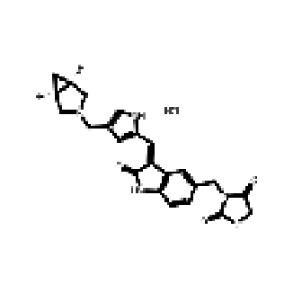 Cl.O=C1Nc2ccc(CN3C(=O)CSC3=O)cc2C1=Cc1cc(CN2C[C@H]3C[C@H]3C2)c[nH]1